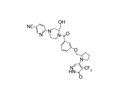 N#Cc1ccc(N2CCN(C(=O)c3cccc(OCC4CCCN4c4cn[nH]c(=O)c4C(F)(F)F)c3)C(CO)C2)nc1